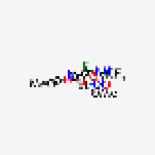 CCOc1cc(OCc2ccc(OC)cc2)ncc1-c1ccc(CC(=O)Nc2cc(C(=O)NCCOC)cc(C(F)(F)F)c2)c(F)c1